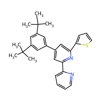 CC(C)(C)c1cc(-c2cc(-c3ccccn3)nc(-c3cccs3)c2)cc(C(C)(C)C)c1